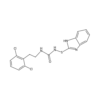 O=C(NCCc1c(Cl)cccc1Cl)NSc1nc2ccccc2[nH]1